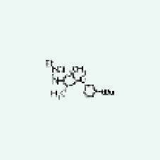 CCN(C)/C=N\c1cc(C)c(Oc2cccc(C(C)(C)C)c2)cc1C